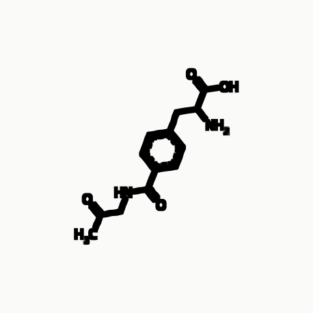 CC(=O)CNC(=O)c1ccc(CC(N)C(=O)O)cc1